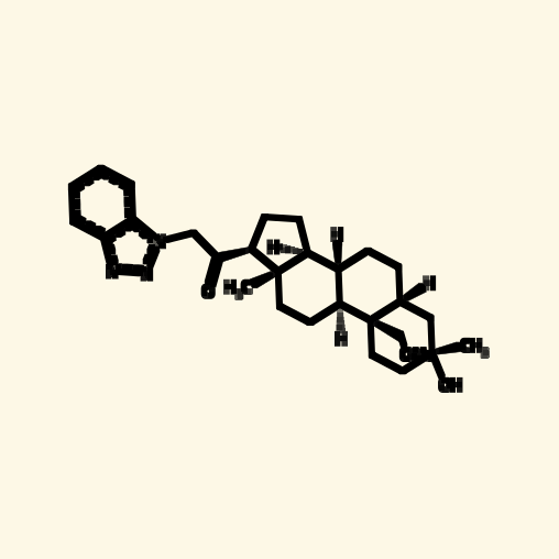 COC[C@]12CC[C@@](C)(O)C[C@H]1CC[C@H]1[C@@H]3CC[C@H](C(=O)Cn4nnc5ccccc54)[C@@]3(C)CC[C@@H]12